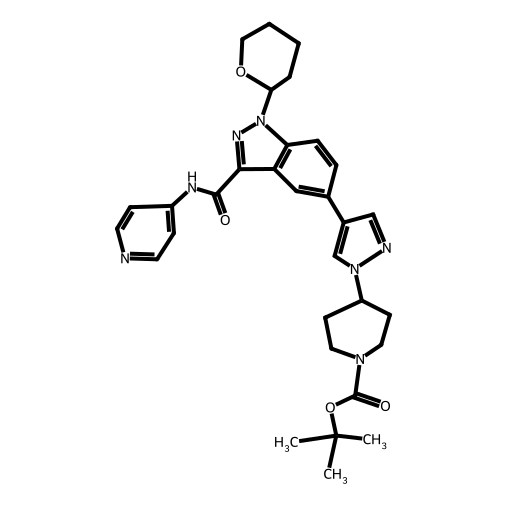 CC(C)(C)OC(=O)N1CCC(n2cc(-c3ccc4c(c3)c(C(=O)Nc3ccncc3)nn4C3CCCCO3)cn2)CC1